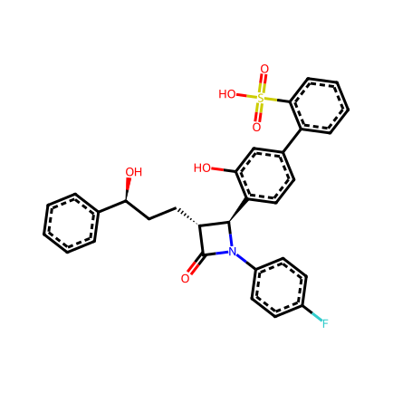 O=C1[C@H](CC[C@H](O)c2ccccc2)[C@@H](c2ccc(-c3ccccc3S(=O)(=O)O)cc2O)N1c1ccc(F)cc1